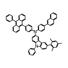 Cc1cc(C)c(-c2ccc3c(c2)c2cc(N(c4ccc(-c5ccc6ccccc6c5)cc4)c4ccc(-c5c6ccccc6c(-c6ccccc6)c6ccccc56)cc4)ccc2n3-c2ccccc2)c(C)c1